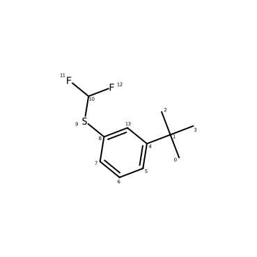 CC(C)(C)c1cccc(SC(F)F)c1